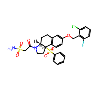 NS(=O)(=O)CC(=O)N1CC[C@@]2(S(=O)(=O)c3ccccc3)c3ccc(OCc4c(F)cccc4Cl)cc3CC[C@@H]12